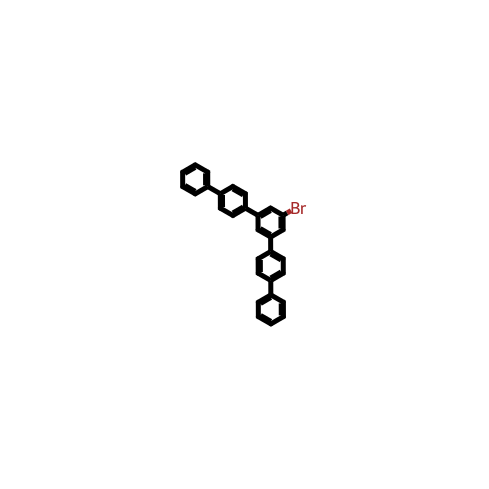 Brc1cc(-c2ccc(-c3ccccc3)cc2)cc(-c2ccc(-c3ccccc3)cc2)c1